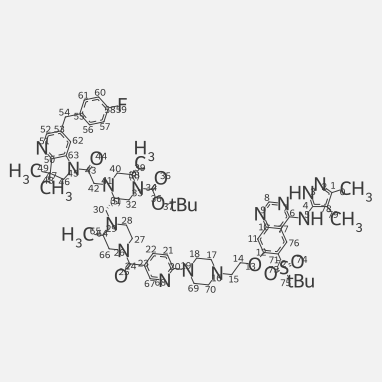 Cc1n[nH]c(Nc2ncnc3cc(OCCN4CCN(c5ccc(C(=O)N6CCN(C[C@H]7CN(C(=O)OC(C)(C)C)[C@H](C)CN7CC(=O)N7CC(C)(C)c8ncc(Cc9ccc(F)cc9)cc87)C(C)C6)cn5)CC4)c(S(=O)(=O)C(C)(C)C)cc23)c1C